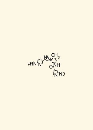 Cc1ccc(NC(=O)c2ccnc(N3CCCC3)c2)cc1-n1cc(-c2ccc(NCC3CC3)nc2)nn1